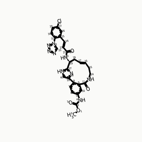 COC(=O)Nc1ccc2c(c1)C(=O)NCC/C=C/C[C@H](NC(=O)/C=C/c1cc(Cl)ccc1-n1cnnn1)c1nc-2c[nH]1